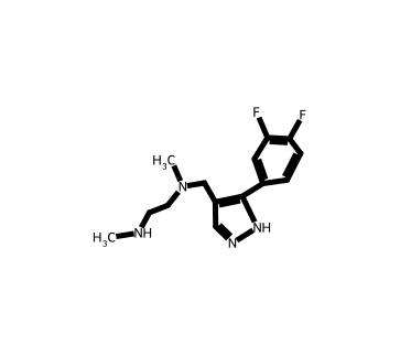 CNCCN(C)Cc1cn[nH]c1-c1ccc(F)c(F)c1